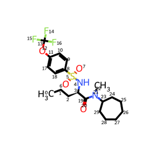 CCC[C@@H](NS(=O)(=O)c1ccc(OC(F)(F)F)cc1)C(=O)N(C)C1CCCCCC1